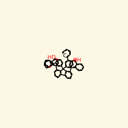 Oc1ccc(C2(c3ccc(O)c(-c4ccccc4)c3)c3c(cccc3-c3cccc4ccccc34)-c3cccc(-c4cccc5ccccc45)c32)cc1-c1ccccc1